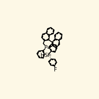 Fc1ccc([Si@@H](c2ccccc2)c2ccccc2P2Cc3ccc4ccccc4c3-c3c(ccc4ccccc34)C2)cc1